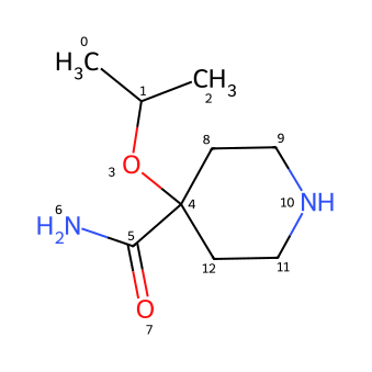 CC(C)OC1(C(N)=O)CCNCC1